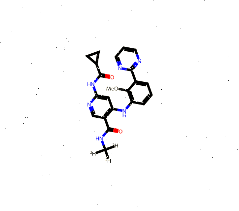 [2H]C([2H])([2H])NC(=O)c1cnc(NC(=O)C2CC2)cc1Nc1cccc(-c2ncccn2)c1OC